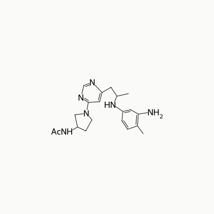 CC(=O)NC1CCN(c2cc(CC(C)Nc3ccc(C)c(N)c3)ncn2)C1